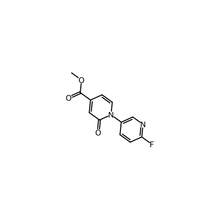 COC(=O)c1ccn(-c2ccc(F)nc2)c(=O)c1